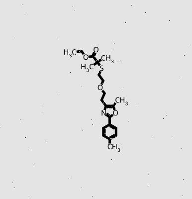 CCOC(=O)C(C)(C)SCCOCCc1nc(-c2ccc(C)cc2)oc1C